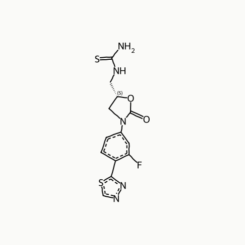 NC(=S)NC[C@H]1CN(c2ccc(-c3nncs3)c(F)c2)C(=O)O1